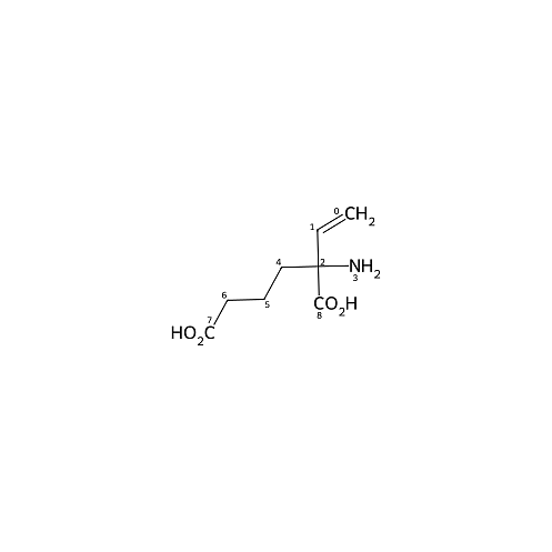 C=CC(N)(CCCC(=O)O)C(=O)O